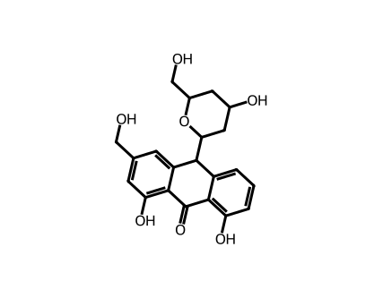 O=C1c2c(O)cccc2C(C2CC(O)CC(CO)O2)c2cc(CO)cc(O)c21